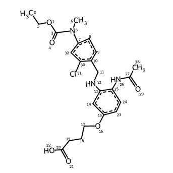 CCOC(=O)N(C)c1ccc(CNc2cc(OCCCC(=O)O)ccc2NC(C)=O)c(Cl)c1